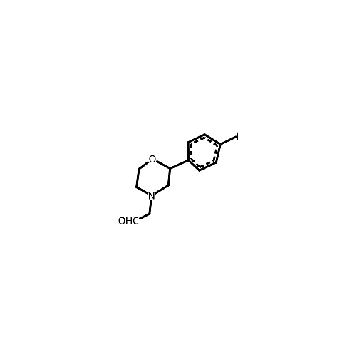 O=CCN1CCOC(c2ccc(I)cc2)C1